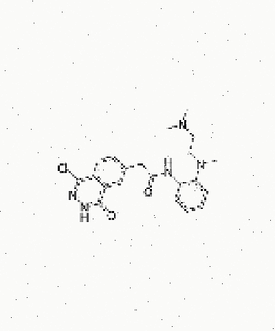 CN(C)CCN(C)c1ccccc1NC(=O)Cc1ccc2c(Cl)n[nH]c(=O)c2c1